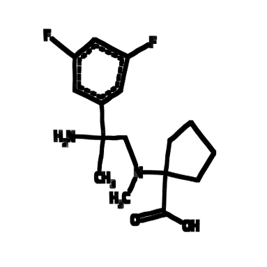 CN(CC(C)(N)c1cc(F)cc(F)c1)C1(C(=O)O)CCCC1